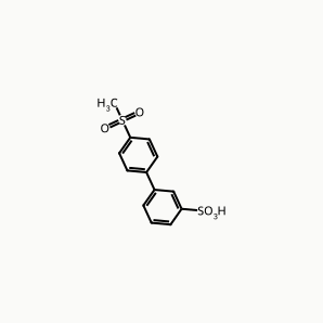 CS(=O)(=O)c1ccc(-c2cccc(S(=O)(=O)O)c2)cc1